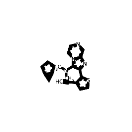 C#Cc1ccsc1-c1nc2cnccn2c1N(C)C.c1cc2cc-2c1